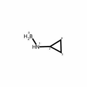 BNC1CC1